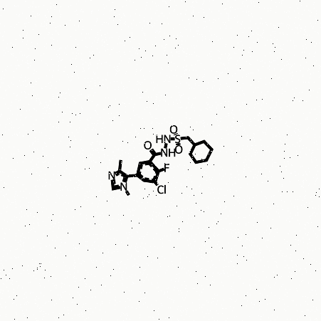 Cc1ncn(C)c1-c1cc(Cl)c(F)c(C(=O)NNS(=O)(=O)CC2CCCCC2)c1